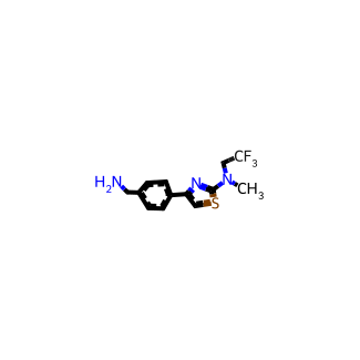 CN(CC(F)(F)F)c1nc(-c2ccc(CN)cc2)cs1